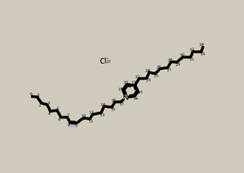 CCCCCCCC/C=C\CCCCCCCC[n+]1ccc(CCCCCCCCCCCCC)cc1.[Cl-]